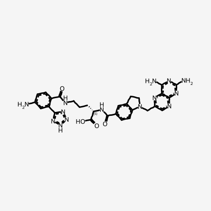 Nc1ccc(C(=O)NCCC[C@H](NC(=O)c2ccc3c(c2)CCN3Cc2cnc3nc(N)nc(N)c3n2)C(=O)O)c(-c2nn[nH]n2)c1